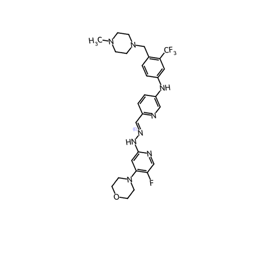 CN1CCN(Cc2ccc(Nc3ccc(/C=N/Nc4cc(N5CCOCC5)c(F)cn4)nc3)cc2C(F)(F)F)CC1